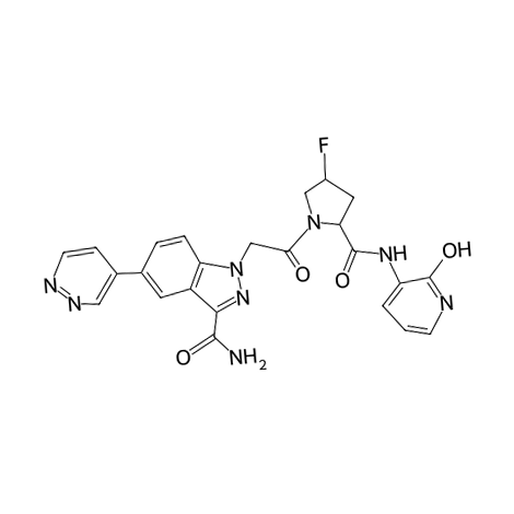 NC(=O)c1nn(CC(=O)N2CC(F)CC2C(=O)Nc2cccnc2O)c2ccc(-c3ccnnc3)cc12